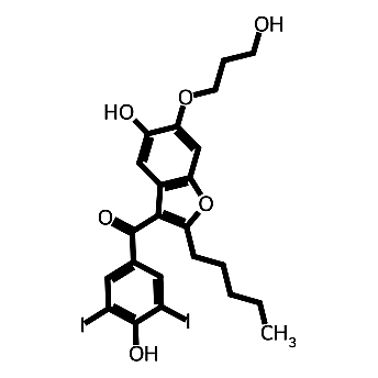 CCCCCc1oc2cc(OCCCO)c(O)cc2c1C(=O)c1cc(I)c(O)c(I)c1